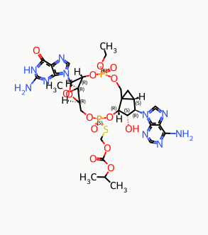 CCO[P@]1(=O)OCC23C[C@@H]2[C@@H](n2cnc4c(N)ncnc42)[C@H](O)[C@@H]3O[P@@](=O)(SCOC(=O)OC(C)C)OC[C@H]2O[C@@H](n3cnc4c(=O)[nH]c(N)nc43)[C@H](O1)[C@@H]2OC